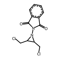 O=C1c2ccccc2C(=O)N1N1C(CCl)C1CCl